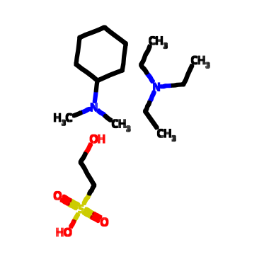 CCN(CC)CC.CN(C)C1CCCCC1.O=S(=O)(O)CCO